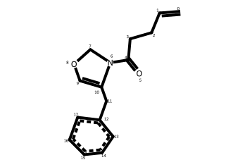 C=CCCC(=O)N1COC=C1Cc1ccccc1